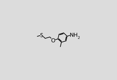 CSCCOc1ccc(N)cc1C